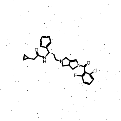 O=C(CC1CC1)N[C@@H](CCN1CC2=CN(C(=O)c3c(F)cccc3Cl)CC2C1)c1ccccc1